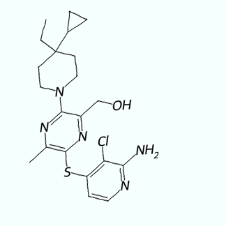 CCC1(C2CC2)CCN(c2nc(C)c(Sc3ccnc(N)c3Cl)nc2CO)CC1